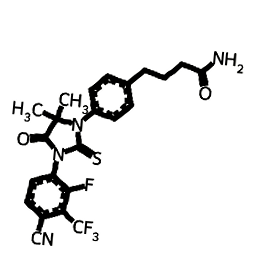 CC1(C)C(=O)N(c2ccc(C#N)c(C(F)(F)F)c2F)C(=S)N1c1ccc(CCCC(N)=O)cc1